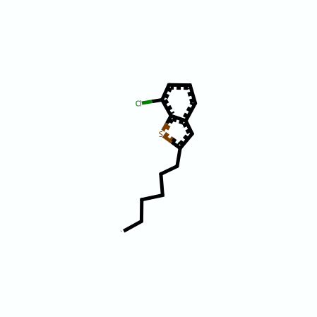 [CH2]CCCCCc1cc2cccc(Cl)c2s1